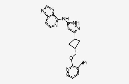 CC(C)c1ccnnc1OC[C@H]1C[C@@H](c2cc(Nc3nccc4ncsc34)[nH]n2)C1